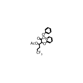 CC(=O)OC(CCC(F)(F)F)C(Oc1ccccn1)C(=O)OOc1ccccc1